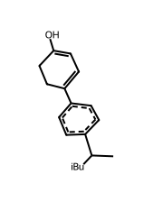 CCC(C)C(C)c1ccc(C2=CC=C(O)CC2)cc1